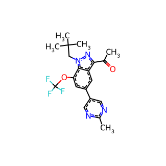 CC(=O)c1nn(CC(C)(C)C)c2c(OC(F)(F)F)cc(-c3cnc(C)nc3)cc12